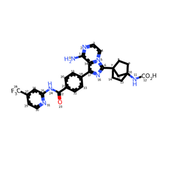 Nc1nccn2c(C34CCC(NC(=O)O)(CC3)C4)nc(-c3ccc(C(=O)Nc4cc(C(F)(F)F)ccn4)cc3)c12